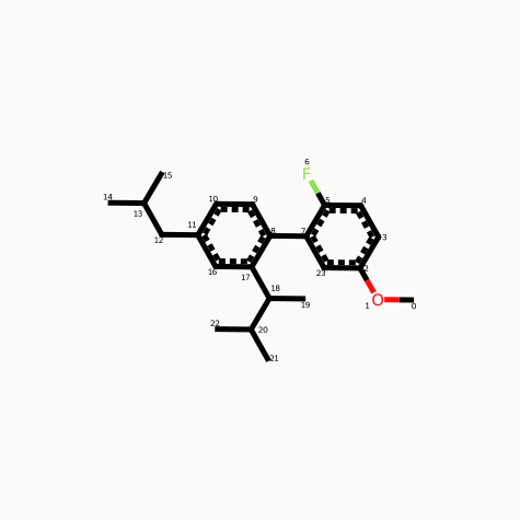 COc1ccc(F)c(-c2ccc(CC(C)C)cc2C(C)C(C)C)c1